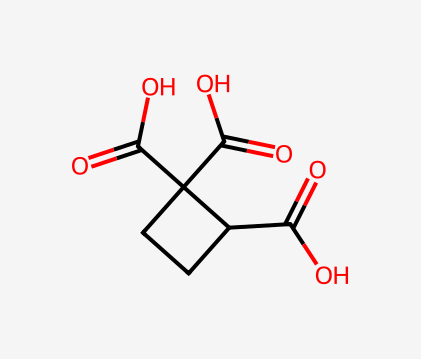 O=C(O)C1CCC1(C(=O)O)C(=O)O